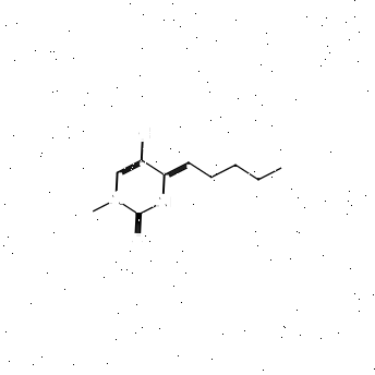 CCCCC=C1NC(=O)N(C)C=C1Cl